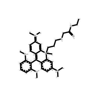 CCOC(=O)CSCCC[Si]1(C)C2=CC(=[N+](C)C)C=CC2=C(c2c(OC)cccc2OC)c2ccc(N(C)C)cc21